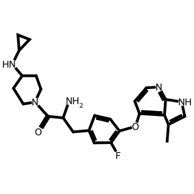 Cc1c[nH]c2nccc(Oc3ccc(CC(N)C(=O)N4CCC(NC5CC5)CC4)cc3F)c12